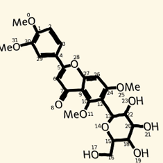 COc1ccc(-c2cc(=O)c3c(OC)c(C4OC(CO)C(O)C(O)C4O)c(OC)cc3o2)cc1OC